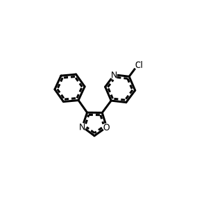 Clc1ccc(-c2ocnc2-c2ccccc2)cn1